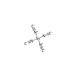 [C-]#[N+][Sn]([N+]#[C-])([N+]#[C-])[N+]#[C-]